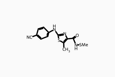 CSNC(=O)c1nc(Nc2ccc(C#N)cc2)sc1C